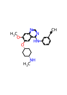 C#Cc1cccc(Nc2ncnc3cc(OC)c(O[C@H]4CC[C@@H](NC)CC4)cc23)c1